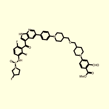 COC(=O)c1ccc(N2CCC(COCC3CCN(c4ccc(-c5cnc6[nH]cc(C(=O)c7c(F)ccc(N[S+]([O-])N8CCC(F)C8)c7F)c6c5)cc4)CC3)CC2)cc1C=O